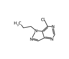 CCCn1ncc2ncnc(Cl)c21